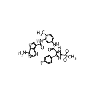 Cc1ccc(NC(=O)c2[nH]c(S(C)(=O)=O)nc2-c2ccc(F)cc2)cc1NC(=O)c1csc2c(N)ncnc12